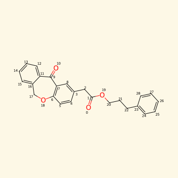 O=C(Cc1ccc2c(c1)C(=O)c1ccccc1CO2)OCCCc1ccccc1